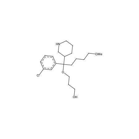 COCCCCC(OCCCO)(c1cccc(Cl)c1)C1CCCNC1